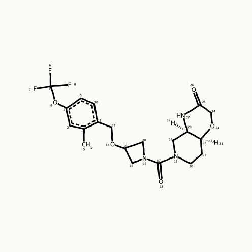 Cc1cc(OC(F)(F)F)ccc1COC1CN(C(=O)N2CC[C@@H]3OCC(=O)N[C@@H]3C2)C1